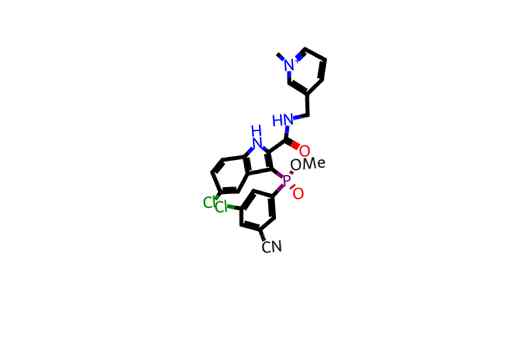 COP(=O)(c1cc(Cl)cc(C#N)c1)c1c(C(=O)NCc2ccc[n+](C)c2)[nH]c2ccc(Cl)cc12